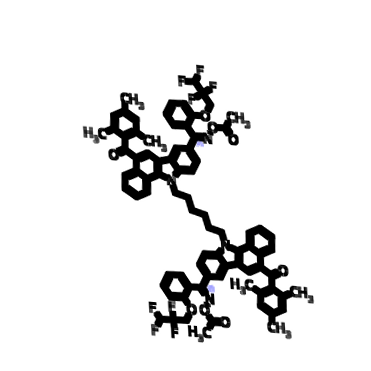 CC(=O)O/N=C(/c1ccc2c(c1)c1cc(C(=O)c3c(C)cc(C)cc3C)c3ccccc3c1n2CCCCCCn1c2ccc(/C(=N/OC(C)=O)c3ccccc3OCC(F)(F)C(F)F)cc2c2cc(C(=O)c3c(C)cc(C)cc3C)c3ccccc3c21)c1ccccc1OCC(F)(F)C(F)F